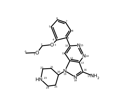 COCOc1ccccc1-c1cc2c(nn1)c(N)nn2C1CCNCC1